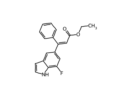 CCOC(=O)/C=C(\c1ccccc1)c1cc(F)c2[nH]ccc2c1